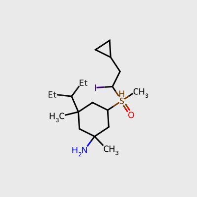 CCC(CC)C1(C)CC([SH](C)(=O)C(I)CC2CC2)CC(C)(N)C1